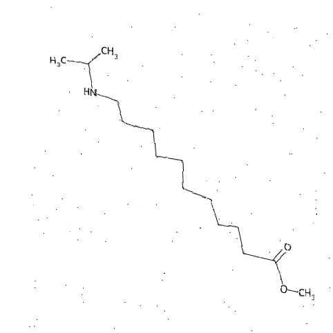 COC(=O)CCCCCCCCCCNC(C)C